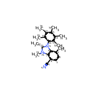 Cc1ccc(C#N)c2c1N(c1c(C)c(C)c(C)c(C)c1C)[C@@H](C)N2C